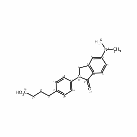 CN(C)c1ccc2c(c1)CN(c1ccc(CCCC(=O)O)cc1)C2=O